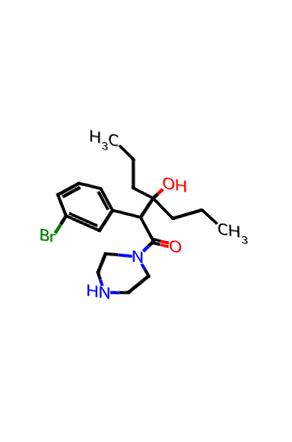 CCCC(O)(CCC)C(C(=O)N1CCNCC1)c1cccc(Br)c1